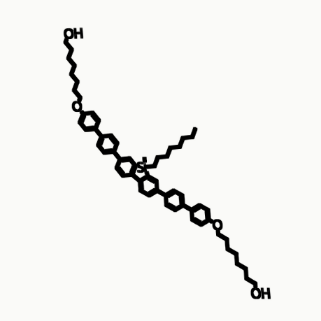 CCCCCCCC[Si]1(C)c2cc(-c3ccc(-c4ccc(OCCCCCCCCO)cc4)cc3)ccc2-c2ccc(-c3ccc(-c4ccc(OCCCCCCCCO)cc4)cc3)cc21